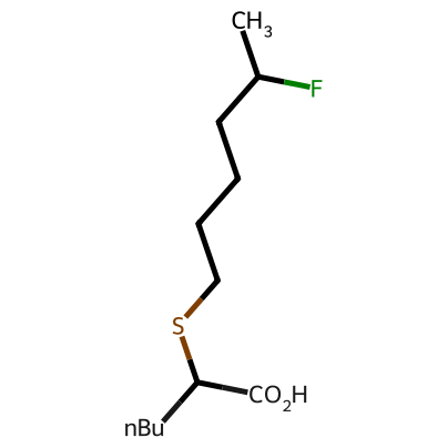 CCCCC(SCCCCC(C)F)C(=O)O